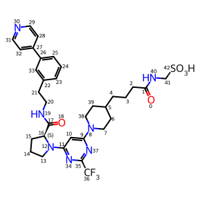 O=C(CCCC1CCN(c2cc(N3CCC[C@H]3C(=O)NCCc3cccc(-c4ccncc4)c3)nc(C(F)(F)F)n2)CC1)NCS(=O)(=O)O